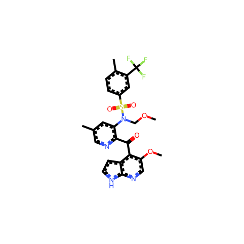 COCN(c1cc(C)cnc1C(=O)c1c(OC)cnc2[nH]ccc12)S(=O)(=O)c1ccc(C)c(C(F)(F)F)c1